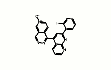 [O-][n+]1ccc2c(-c3cc(-c4ccccc4F)nc4ncccc34)nncc2c1